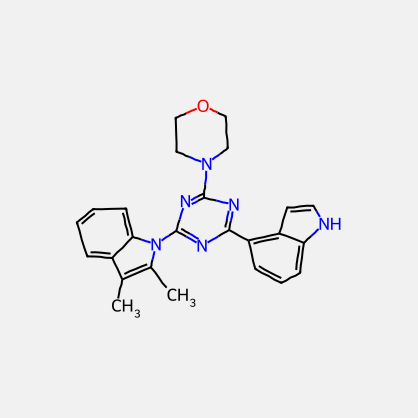 Cc1c(C)n(-c2nc(-c3cccc4[nH]ccc34)nc(N3CCOCC3)n2)c2ccccc12